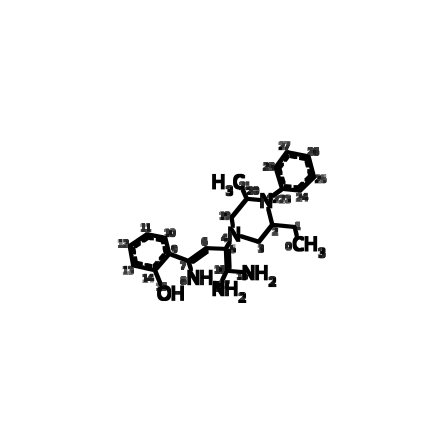 CCC1CN(C(/C=C(\N)c2ccccc2O)=C(N)N)CC(C)N1c1ccccc1